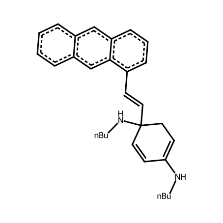 CCCCNC1=CCC(C=Cc2cccc3cc4ccccc4cc23)(NCCCC)C=C1